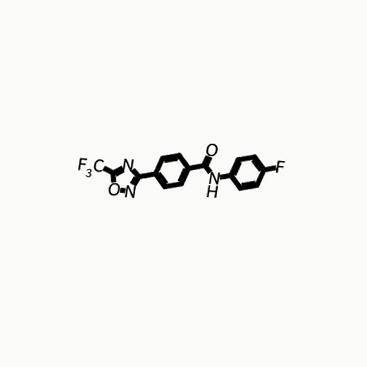 O=C(Nc1ccc(F)cc1)c1ccc(-c2noc(C(F)(F)F)n2)cc1